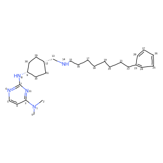 CN(C)c1ccnc(N[C@H]2CC[C@@H](CNCCCCCCCCc3ccccc3)CC2)n1